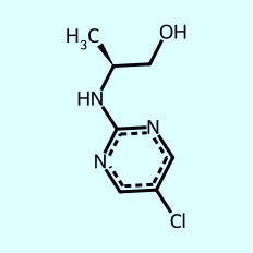 C[C@@H](CO)Nc1ncc(Cl)cn1